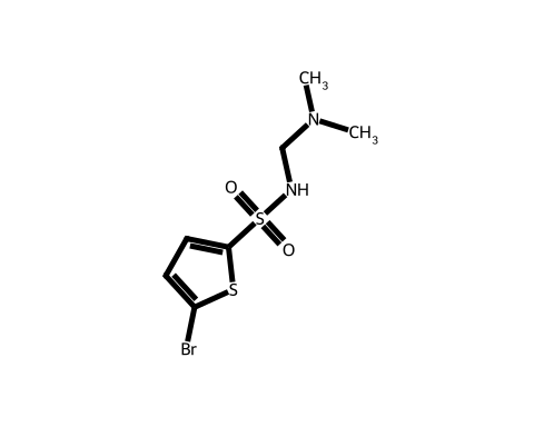 CN(C)CNS(=O)(=O)c1ccc(Br)s1